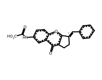 O=C(O)C(=O)Nc1ccc2oc3c(c(=O)c2c1)CC/C3=C\c1ccccc1